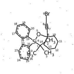 CC(C)(C)[Si](OC1(C#CBr)CCCCC1)(c1ccccc1)c1ccccc1